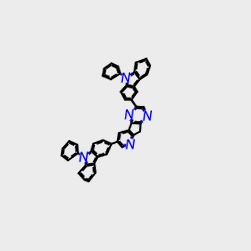 c1ccc(-n2c3ccccc3c3cc(-c4cnc5c(c4)-c4nc(-c6ccc7c(c6)c6ccccc6n7-c6ccccc6)cnc4C5)ccc32)cc1